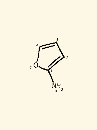 Nc1ccco1